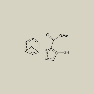 COC(=O)c1sccc1S.c1cc2cc(c1)C2